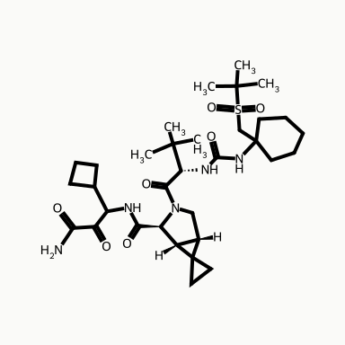 CC(C)(C)[C@H](NC(=O)NC1(CS(=O)(=O)C(C)(C)C)CCCCC1)C(=O)N1C[C@H]2[C@@H]([C@H]1C(=O)NC(C(=O)C(N)=O)C1CCC1)C21CC1